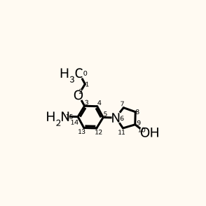 CCOc1cc(N2CCC(O)C2)ccc1N